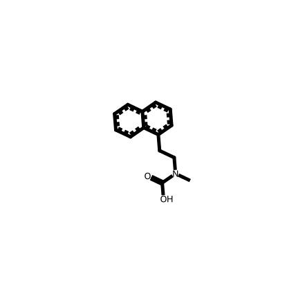 CN(CCc1cccc2ccccc12)C(=O)O